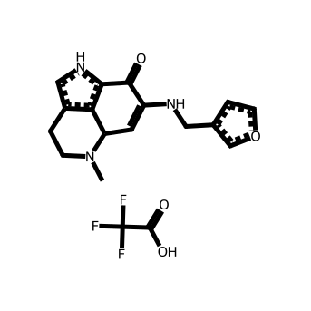 CN1CCc2c[nH]c3c2C1C=C(NCc1ccoc1)C3=O.O=C(O)C(F)(F)F